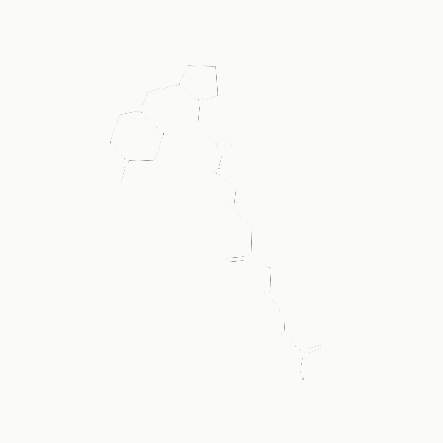 CN1CCN(CC2CCCN2C[13C](=O)[15NH][13CH2][13CH2][13CH2][13C](=O)[15NH][13CH2][13CH2][13CH2][13C](=O)O)CC1